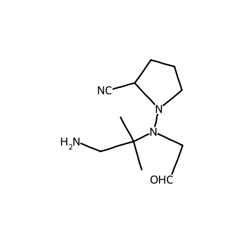 CC(C)(CN)N(CC=O)N1CCCC1C#N